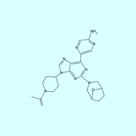 C=C(C)N1CCC(n2cnc3c(-c4cnc(N)cn4)nc(N4CC5CCC(C4)O5)nc32)CC1